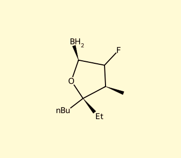 B[C@@H]1O[C@@](CC)(CCCC)[C@H](C)C1F